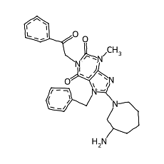 Cn1c(=O)n(CC(=O)c2ccccc2)c(=O)c2c1nc(N1CCCCC(N)C1)n2Cc1ccccc1